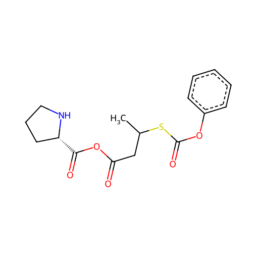 CC(CC(=O)OC(=O)[C@@H]1CCCN1)SC(=O)Oc1ccccc1